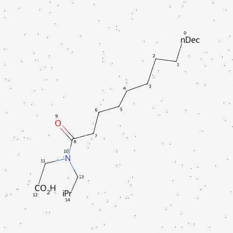 CCCCCCCCCCCCCCCCCC(=O)N(CC(=O)O)CC(C)C